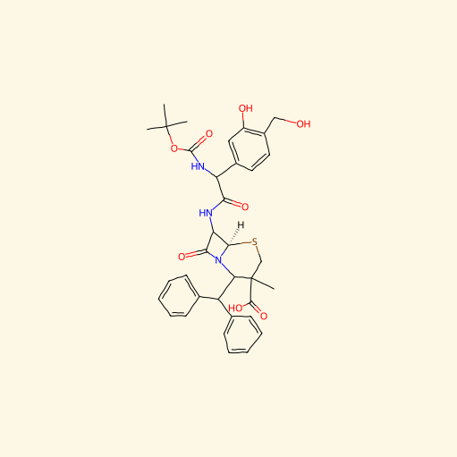 CC(C)(C)OC(=O)NC(C(=O)NC1C(=O)N2C(C(c3ccccc3)c3ccccc3)C(C)(C(=O)O)CS[C@H]12)c1ccc(CO)c(O)c1